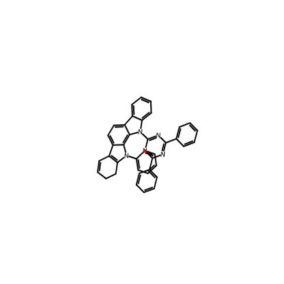 C1=Cc2c(n(-c3ccccc3)c3c2ccc2c4ccccc4n(-c4nc(-c5ccccc5)nc(-c5ccccc5)n4)c23)CC1